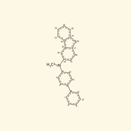 CN(c1ccc(-c2ccccc2)cc1)c1ccc2sc3ccccc3c2c1